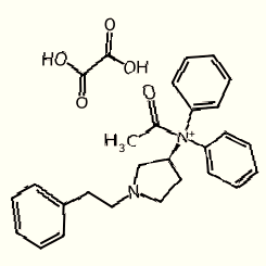 CC(=O)[N+](c1ccccc1)(c1ccccc1)[C@H]1CCN(CCc2ccccc2)C1.O=C(O)C(=O)O